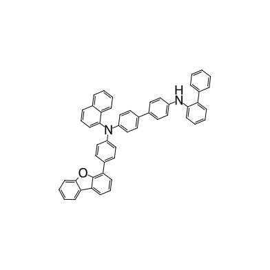 c1ccc(-c2ccccc2Nc2ccc(-c3ccc(N(c4ccc(-c5cccc6c5oc5ccccc56)cc4)c4cccc5ccccc45)cc3)cc2)cc1